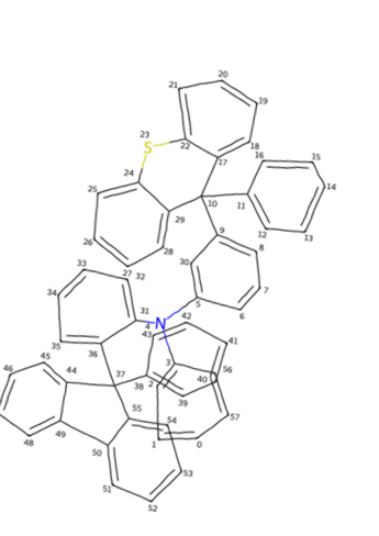 c1ccc(N(c2cccc(C3(c4ccccc4)c4ccccc4Sc4ccccc43)c2)c2ccccc2C2(c3ccccc3)c3ccccc3-c3ccccc32)cc1